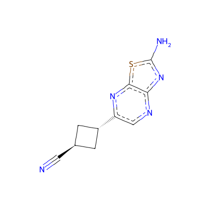 N#C[C@H]1C[C@H](c2cnc3nc(N)sc3n2)C1